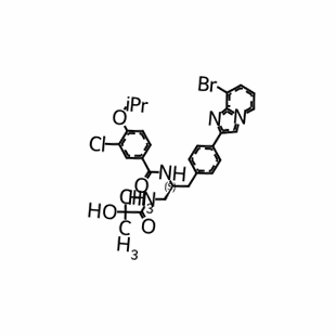 CC(C)Oc1ccc(C(=O)N[C@H](CNC(=O)C(C)(C)O)Cc2ccc(-c3cn4cccc(Br)c4n3)cc2)cc1Cl